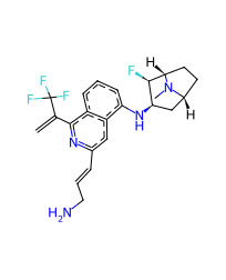 C=C(c1nc(/C=C/CN)cc2c(N[C@@H]3C[C@H]4CC[C@@H]([C@@H]3F)N4C)cccc12)C(F)(F)F